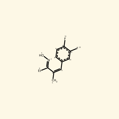 CCC(=NO)C(C)=Cc1ccc(F)c(F)c1